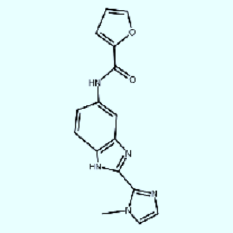 Cn1ccnc1-c1nc2cc(NC(=O)c3ccco3)ccc2[nH]1